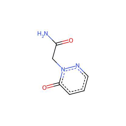 NC(=O)Cn1ncccc1=O